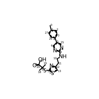 Cc1ccc(-c2cnc(NCCc3csc(SC(C)(C)C(=O)O)n3)nc2)cc1